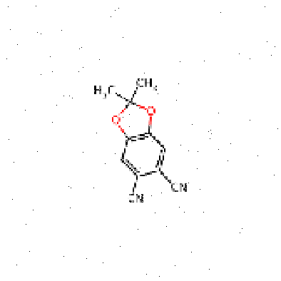 CC1(C)Oc2cc(C#N)c(C#N)cc2O1